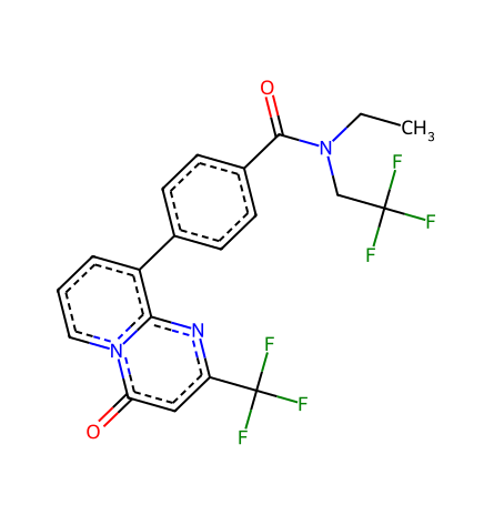 CCN(CC(F)(F)F)C(=O)c1ccc(-c2cccn3c(=O)cc(C(F)(F)F)nc23)cc1